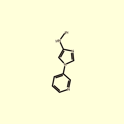 CC(C)Nc1cn(-c2cccnc2)cn1